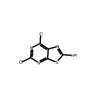 CCCc1nc2c(Cl)nc(Cl)nc2s1